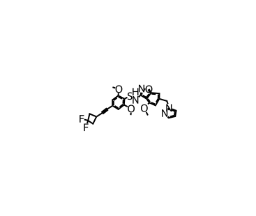 COc1cc(C#CC2CC(F)(F)C2)cc(OC)c1SNc1noc2cc(Cn3cccn3)cc(OC)c12